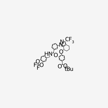 CC(C)(C)OC(=O)c1ccc(OC2CCCc3c(C(F)(F)F)nn(-c4cccc(C(=O)NCc5ccc6c(c5)OC(F)(F)O6)c4)c32)cc1